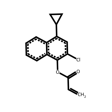 C=CC(=O)Oc1c(Cl)cc(C2CC2)c2ccccc12